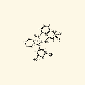 NC1=NS(=O)(=O)Nc2cccc(OC[C@H]3CCCCN3C(O)c3cc(O)cc(O)c3)c21